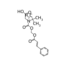 CC(C)(C)N(CC(=O)O)C(=O)OCOC(=O)/C=C/c1ccccc1